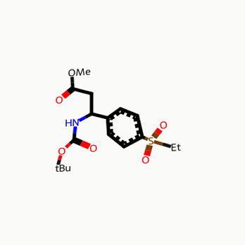 CCS(=O)(=O)c1ccc(C(CC(=O)OC)NC(=O)OC(C)(C)C)cc1